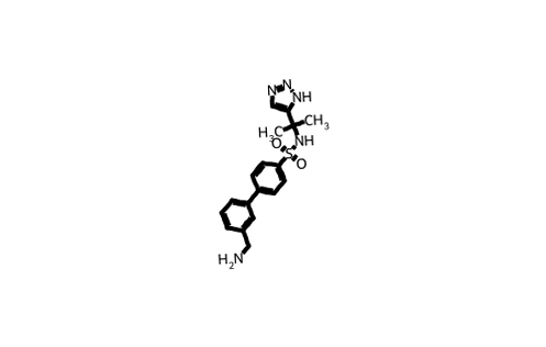 CC(C)(NS(=O)(=O)c1ccc(-c2cccc(CN)c2)cc1)c1cnn[nH]1